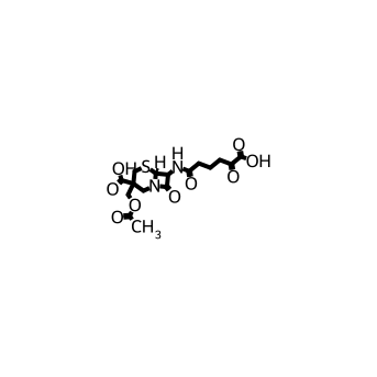 CC(=O)OCC1(C(=O)O)CS[C@@H]2C(NC(=O)CCCC(=O)C(=O)O)C(=O)N2C1